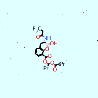 CC(C)C(=O)OC(OC(=O)c1cccc2c1OB(O)[C@@H](NC(=O)CC(F)(F)F)C2)C(C)C